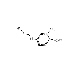 O=Cc1ccc(NCCO)cc1C(F)(F)F